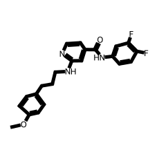 COc1ccc(CCCNc2cc(C(=O)Nc3ccc(F)c(F)c3)ccn2)cc1